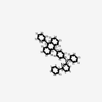 c1ccc(-c2cccc(N(c3ccccc3)c3ccc(-c4c5ccccc5c(-c5ccccn5)c5ccccc45)cc3)n2)cc1